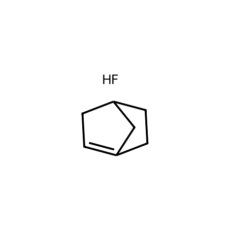 C1=C2CCC(C1)C2.F